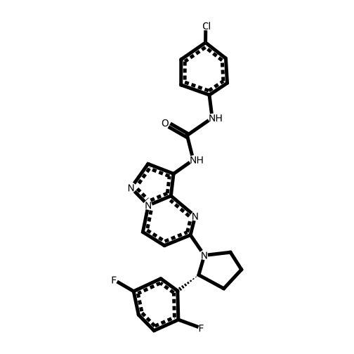 O=C(Nc1ccc(Cl)cc1)Nc1cnn2ccc(N3CCC[C@@H]3c3cc(F)ccc3F)nc12